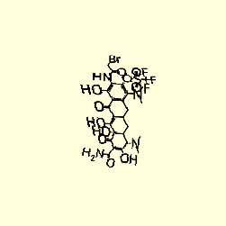 CN(C)c1c2c(c(O)c(NC(=O)CBr)c1OS(=O)(=O)C(F)(F)F)C(=O)C1=C(O)[C@]3(O)C(=O)C(C(N)=O)=C(O)[C@@H](N(C)C)C3CC1C2